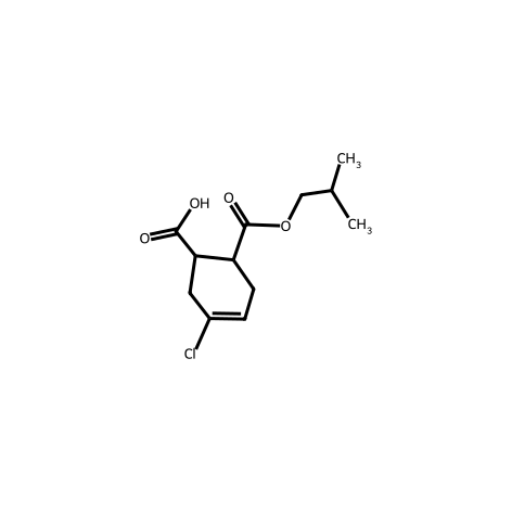 CC(C)COC(=O)C1CC=C(Cl)CC1C(=O)O